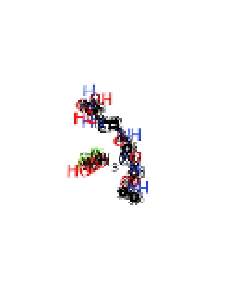 CC(Cc1ccc(CCNC(=O)Cc2ccc(N(C)C(=O)CCN3CCC(OC(=O)Nc4ccccc4-c4ccccc4)CC3)cc2)cc1)NC[C@H](O)c1ccc(O)c2[nH]c(=O)ccc12.O=C(O)C(F)(F)F.O=C(O)C(F)(F)F